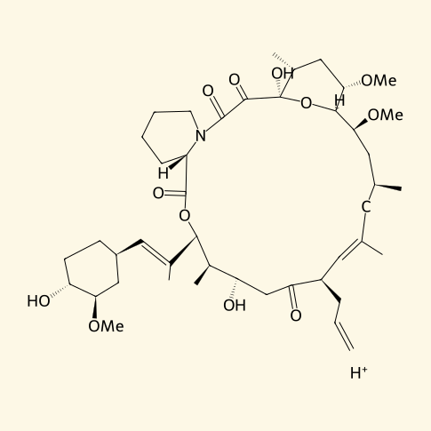 C=CC[C@@H]1/C=C(\C)C[C@H](C)C[C@H](OC)[C@H]2O[C@@](O)(C(=O)C(=O)N3CCCC[C@H]3C(=O)O[C@H](/C(C)=C/[C@@H]3CC[C@@H](O)[C@H](OC)C3)[C@H](C)[C@@H](O)CC1=O)[C@H](C)C[C@@H]2OC.[H+]